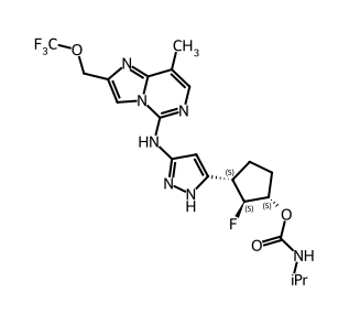 Cc1cnc(Nc2cc([C@@H]3CC[C@H](OC(=O)NC(C)C)[C@H]3F)[nH]n2)n2cc(COC(F)(F)F)nc12